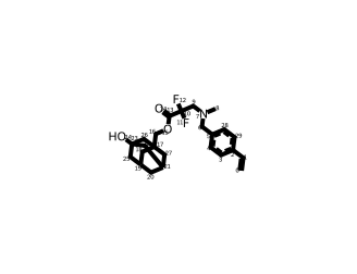 C=Cc1ccc(CN(C)CC(F)(F)C(=O)OCC23CC4CC(CC(O)(C4)C2)C3)cc1